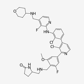 COc1cc(-c2nccc(-c3cccc(Nc4nccc(CNC5CCOCC5)c4F)c3Cl)c2Cl)cc(F)c1CNCC1CCC(=O)N1